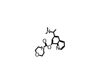 CC(c1cc(OC(=O)N2CCOCC2)c2ncccc2c1)N(C)C